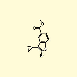 COC(=O)c1ccc2sc(Br)c(C3CC3)c2c1